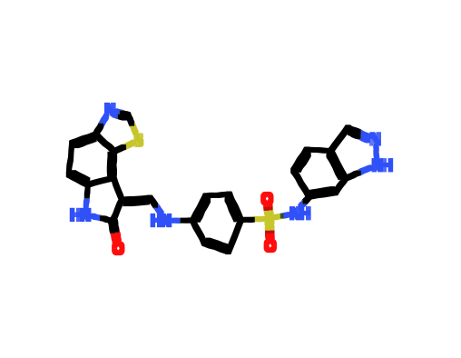 O=C1Nc2ccc3ncsc3c2C1=CNc1ccc(S(=O)(=O)Nc2ccc3cn[nH]c3c2)cc1